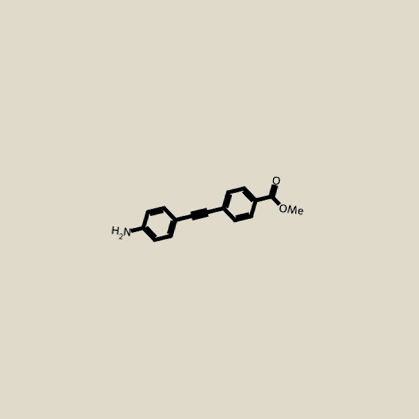 COC(=O)c1ccc(C#Cc2ccc(N)cc2)cc1